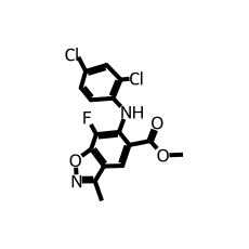 COC(=O)c1cc2c(C)noc2c(F)c1Nc1ccc(Cl)cc1Cl